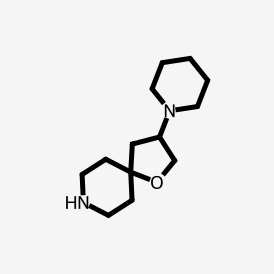 C1CCN(C2COC3(CCNCC3)C2)CC1